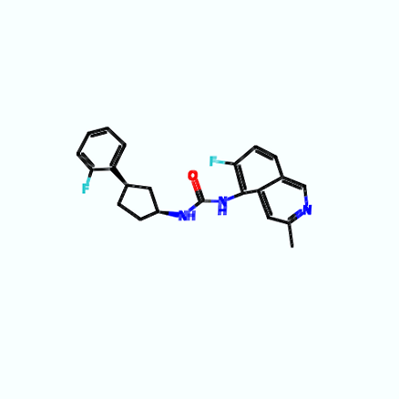 Cc1cc2c(NC(=O)N[C@H]3CC[C@@H](c4ccccc4F)C3)c(F)ccc2cn1